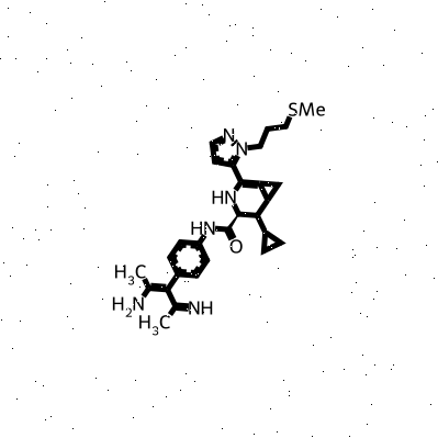 CSCCCn1nccc1C1=C2CC2C(C2CC2)[C@@H](C(=O)Nc2ccc(/C(C(C)=N)=C(\C)N)cc2)N1